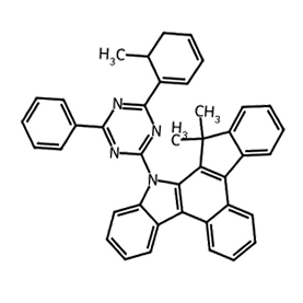 CC1CC=CC=C1c1nc(-c2ccccc2)nc(-n2c3ccccc3c3c4ccccc4c4c(c32)C(C)(C)c2ccccc2-4)n1